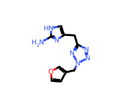 Nc1nc(Cc2nnn(Cc3ccoc3)n2)c[nH]1